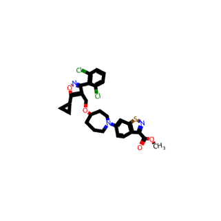 COC(=O)c1nsc2cc(N3CCCC(OCc4c(-c5c(Cl)cccc5Cl)noc4C4CC4)CC3)ccc12